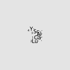 [Al].[Ga].[Lu].[Sc].[Y]